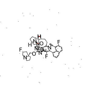 C#Cc1c(F)ccc2cccc(-c3nc4c5c(nc(OC[C@@]67CCCN6C[C@H](F)C7)nc5c3F)N3C[C@H]5CC[C@@H]([C@H]3CCC4)N5C(=O)OC(C)(C)C)c12